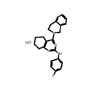 Cl.Fc1ccc(Nc2nc3c(c(N4CCc5ccccc5C4)n2)CCCC3)cc1